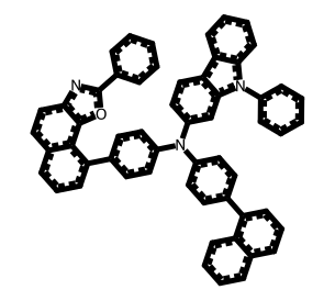 c1ccc(-c2nc3ccc4cccc(-c5ccc(N(c6ccc(-c7cccc8ccccc78)cc6)c6ccc7c8ccccc8n(-c8ccccc8)c7c6)cc5)c4c3o2)cc1